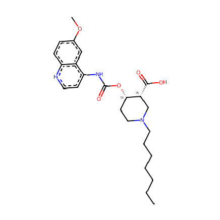 CCCCCCCN1CC[C@H](OC(=O)Nc2ccnc3ccc(OC)cc23)[C@H](C(=O)O)C1